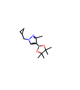 Cc1nn(CC2CC2)cc1B1OC(C)(C)C(C)(C)O1